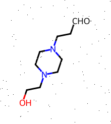 O=[C]CCN1CCN(CCO)CC1